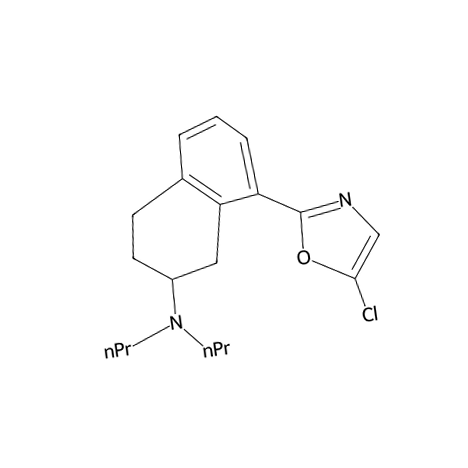 CCCN(CCC)C1CCc2cccc(-c3ncc(Cl)o3)c2C1